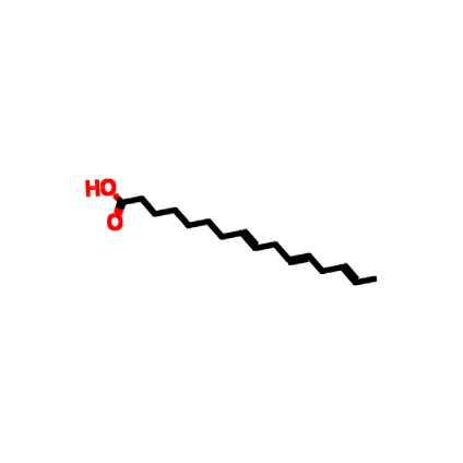 CC=CCC=CCC=CCCCCCCC(=O)O